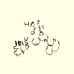 O=C(O)C(F)(F)F.O=S(=O)(Nc1nccs1)c1ccc2c(c1)OCCN2c1cccc2cccnc12